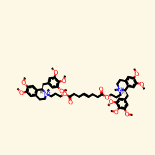 COc1cc2c(cc1OC)[C@@H](Cc1cc(OC)c(OC)c(OC)c1)[N+](C)(CCCOC(=O)CCC=CCCC(=O)OCCC[N+]1(C)CCc3cc(OC)c(OC)cc3[C@H]1Cc1cc(OC)c(OC)c(OC)c1)CC2